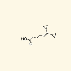 O=C(O)CCCC=C(C1CC1)C1CC1